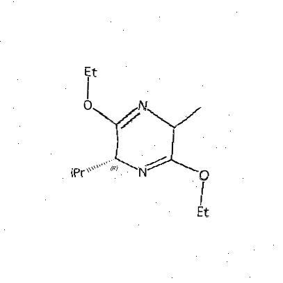 CCOC1=N[C@H](C(C)C)C(OCC)=NC1C